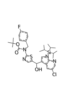 CC(C)[Si](C(C)C)(C(C)C)n1cc(C(O)c2cnc(N(Cc3ccc(F)cc3)C(=O)OC(C)(C)C)s2)c2cc(Cl)cnc21